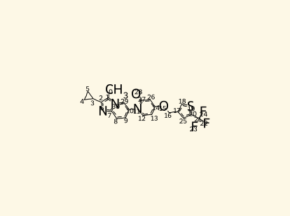 Cc1c(C2CC2)nc2ccc(-n3ccc(OCc4csc(C(F)(F)F)c4)cc3=O)cn12